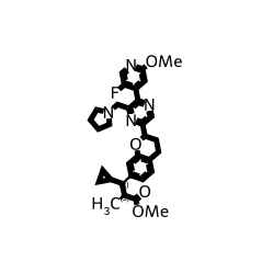 COC(=O)[C@@H](C)[C@H](c1ccc2c(c1)OC(c1cnc(-c3cc(OC)ncc3F)c(CN3CCCC3)n1)CC2)C1CC1